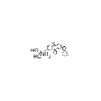 Cc1cccc(Oc2ccc3sc4ccc(CCC(N)(CO)CO)cc4c(=O)c3c2)c1